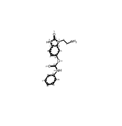 NCCn1c(=O)[nH]c2ccc(OC(=O)Nc3ccccc3)cc21